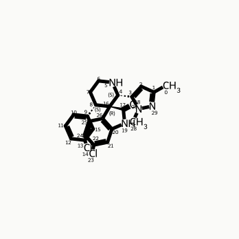 Cc1cc([C@H]2NCC[C@@H](c3cccc(Cl)c3)[C@]23C(=O)Nc2cc(Cl)ccc23)n(C)n1